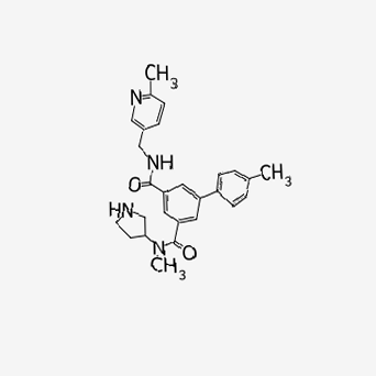 Cc1ccc(-c2cc(C(=O)NCc3ccc(C)nc3)cc(C(=O)N(C)C3CCNC3)c2)cc1